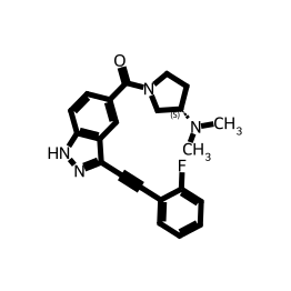 CN(C)[C@H]1CCN(C(=O)c2ccc3[nH]nc(C#Cc4ccccc4F)c3c2)C1